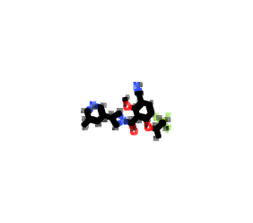 COc1c(C#N)ccc(OC(C)C(F)(F)F)c1C(=O)N1CC(c2cncc(C)c2)C1